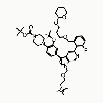 CC(=O)Oc1cc(-c2nn(COCC[Si](C)(C)C)c3cnc(-c4c(F)cccc4COCCCOC4CCCCO4)cc23)ccc1N1CCN(C(=O)OC(C)(C)C)CC1